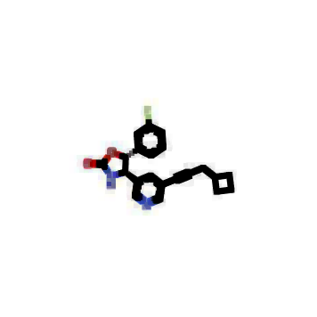 O=C1N[C@H](c2cncc(C#CCC3CCC3)c2)[C@@H](c2cccc(F)c2)O1